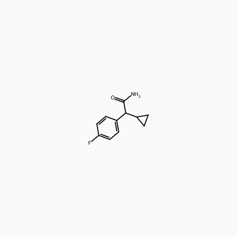 NC(=O)C(c1ccc(F)cc1)C1CC1